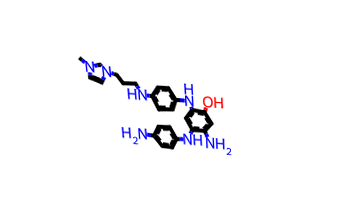 CN1C=CN(CCCNc2ccc(Nc3cc(Nc4ccc(N)cc4)c(N)cc3O)cc2)C1